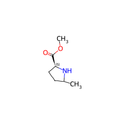 COC(=O)[C@@H]1CCC(C)N1